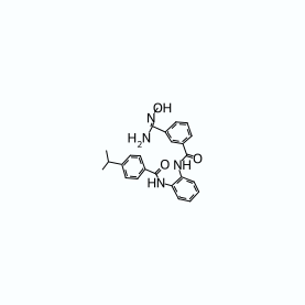 CC(C)c1ccc(C(=O)Nc2ccccc2NC(=O)c2cccc(/C(N)=N\O)c2)cc1